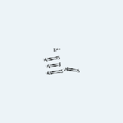 [Al-]=[S].[Al-]=[S].[Al-]=[S].[Al-]=[S].[Ti+4]